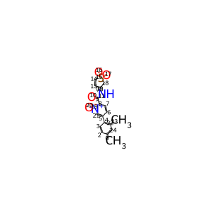 Cc1ccc(-c2ccc(C(=O)N[C@@H]3C=CS(=O)(=O)C3)[n+]([O-])c2)c(C)c1